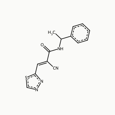 CC(NC(=O)/C(C#N)=C/c1nncs1)c1ccccc1